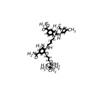 CCn1nc(C)cc1Nc1nc2cc(C(=O)OC)ccc2n1C/C=C/CNc1c(N)cc(C(N)=O)cc1OCCCO[Si](C)(C)C(C)(C)C